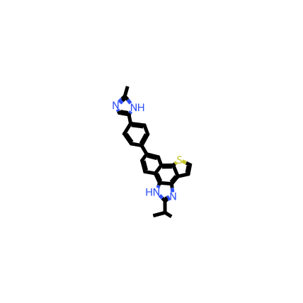 Cc1ncc(-c2ccc(-c3ccc4c(c3)c3sccc3c3nc(C(C)C)[nH]c43)cc2)[nH]1